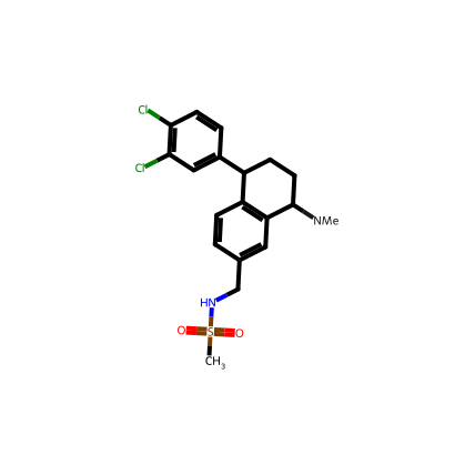 CNC1CCC(c2ccc(Cl)c(Cl)c2)c2ccc(CNS(C)(=O)=O)cc21